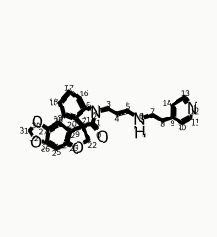 O=C1N(CCCNCCc2ccncc2)c2ccccc2C12COc1cc3c(cc12)OCO3